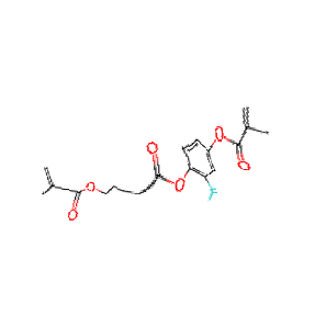 C=C(C)C(=O)OCCCC(=O)Oc1ccc(OC(=O)C(=C)C)cc1F